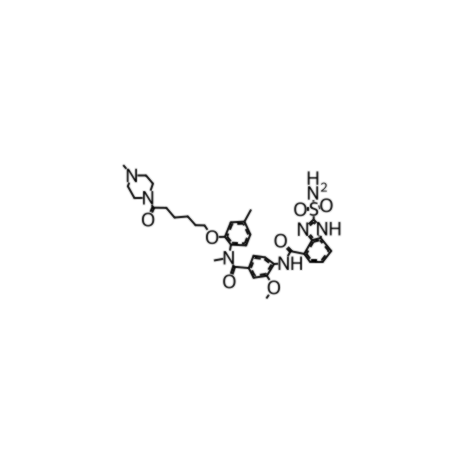 COc1cc(C(=O)N(C)c2ccc(C)cc2OCCCCCC(=O)N2CCN(C)CC2)ccc1NC(=O)c1cccc2[nH]c(S(N)(=O)=O)nc12